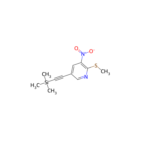 CSc1ncc(C#C[Si](C)(C)C)cc1[N+](=O)[O-]